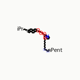 CCCCC/C=C\C/C=C\CCCCCCCCOC[C@H](CN1CCCCC1)OCCOCCO[C@H]1CC[C@@]2(C)C(=CCC3C2CC[C@@]2(C)C3CC[C@@H]2CCCCC(C)C)C1